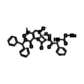 C[S+]([O-])C1=C(C(=O)OC(c2ccccc2)c2ccccc2)N2C(=O)[C@@H](NC(=O)C(NC(=O)OC(C)(C)C)c3ccccc3)[C@@H]2[S+]([O-])C1